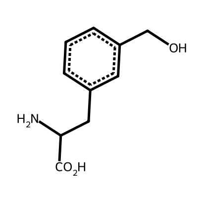 NC(Cc1cccc(CO)c1)C(=O)O